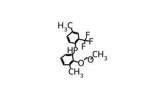 COCOc1c(C)cccc1Pc1ccc(C)cc1C(F)(F)F